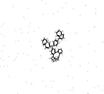 c1ccc2c(c1)-c1cc(N(c3ccc(-c4cccc5ccccc45)cc3)c3ccc4ccccc4c3)ccc1C1CC3CC4CC2CC431